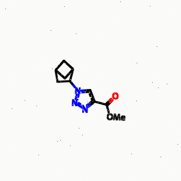 COC(=O)c1cn(C2CC3CC2C3)nn1